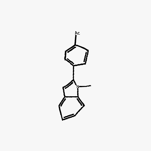 CC(=O)c1ccc(-c2cc3ccccc3n2C)cc1